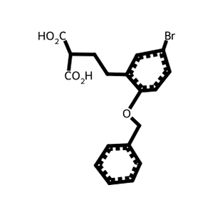 O=C(O)C(CCc1cc(Br)ccc1OCc1ccccc1)C(=O)O